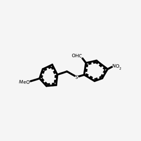 COc1ccc(CSc2ccc([N+](=O)[O-])cc2C=O)cc1